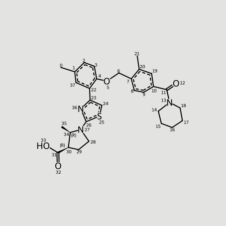 Cc1ccc(OCc2ccc(C(=O)N3CCCCC3)cc2C)c(-c2csc(N3CC[C@@H](C(=O)O)[C@H]3C)n2)c1